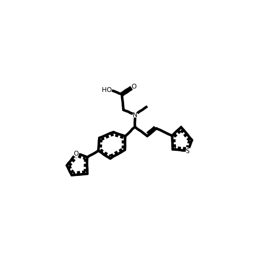 CN(CC(=O)O)C(C=Cc1ccsc1)c1ccc(-c2ccco2)cc1